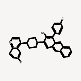 N#Cc1c(C2CCC(c3ccnc4ccc(F)cc34)CC2)cc2cc3ccccc3cc2c1-c1ccc(Cl)cc1